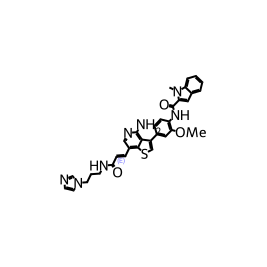 COc1cc(-c2csc3c(/C=C/C(=O)NCCCn4ccnc4)cnc(N)c23)ccc1NC(=O)c1cc2ccccc2n1C